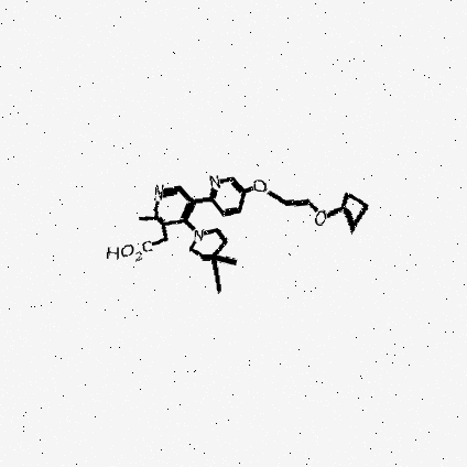 Cc1ncc(-c2ccc(OCCOC3CCC3)cn2)c(N2CCC(C)(C)CC2)c1CC(=O)O